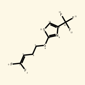 FC(F)=CCCSc1nc(C(F)(F)F)cs1